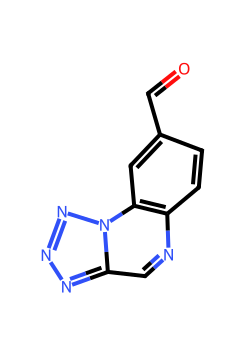 O=Cc1ccc2ncc3nnnn3c2c1